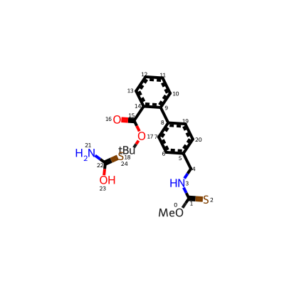 COC(=S)NCc1ccc(-c2ccccc2C(=O)OC(C)(C)C)cc1.NC(O)=S